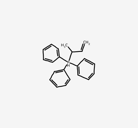 C=CC(C)[PH](c1ccccc1)(c1ccccc1)c1ccccc1